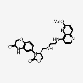 COc1ccc2nccc(NCCNC[C@H]3COC(=O)N3c3ccc4c(c3)NC(=O)CO4)c2n1